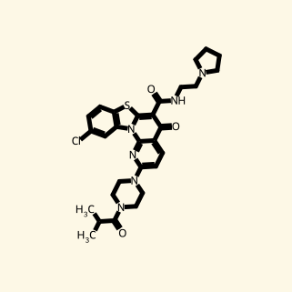 CC(C)C(=O)N1CCN(c2ccc3c(=O)c(C(=O)NCCN4CCCC4)c4sc5ccc(Cl)cc5n4c3n2)CC1